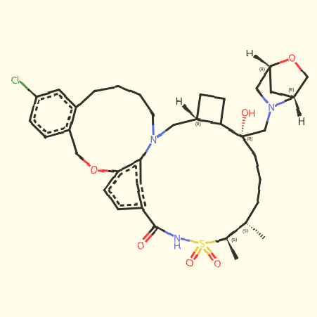 C[C@@H]1[C@@H](C)CCC[C@](O)(CN2C[C@H]3C[C@@H]2CO3)C2CC[C@H]2CN2CCCCc3cc(Cl)ccc3COc3ccc(cc32)C(=O)NS1(=O)=O